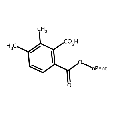 CCCCCOC(=O)c1ccc(C)c(C)c1C(=O)O